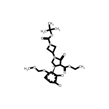 CCOC(=O)C1C(=O)N(C2CN(C(=O)OC(C)(C)C)C2)C[C@@H]1c1c(OCOC)ccc(Cl)c1Cl